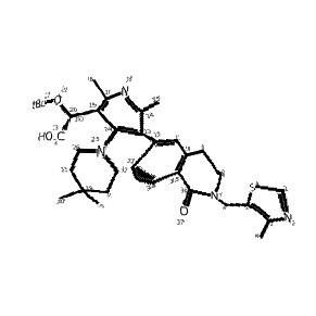 Cc1ncsc1CN1CCc2cc(-c3c(C)nc(C)c([C@H](OC(C)(C)C)C(=O)O)c3N3CCC(C)(C)CC3)ccc2C1=O